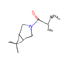 CC(=O)NC(C(=O)N1CC2C(C1)C2(C)C)C(C)(C)C